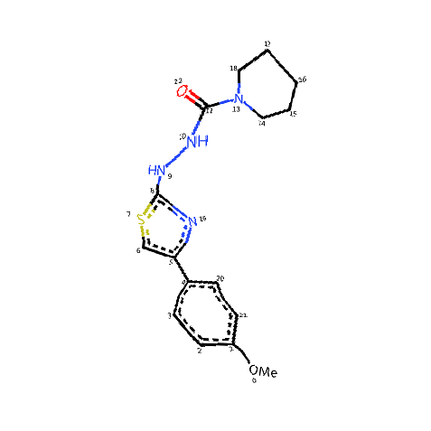 COc1ccc(-c2csc(NNC(=O)N3CCCCC3)n2)cc1